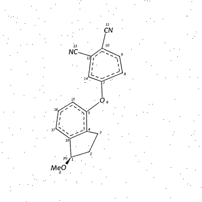 CO[C@@H]1CCc2c(Oc3ccc(C#N)c(C#N)c3)cccc21